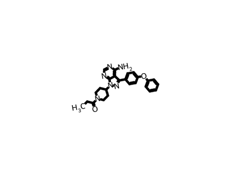 CCC(=O)N1CCC(n2nc(-c3ccc(Oc4ccccc4)cc3)c3c(N)ncnc32)CC1